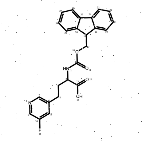 O=C(NC(CCc1cncc(F)c1)C(=O)O)OCC1c2ccccc2-c2ccccc21